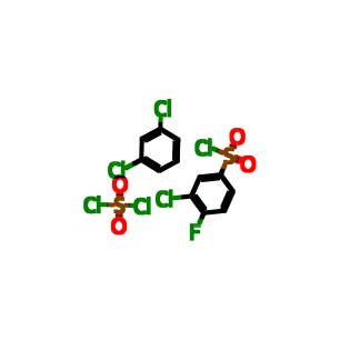 Clc1cccc(Cl)c1.O=S(=O)(Cl)Cl.O=S(=O)(Cl)c1ccc(F)c(Cl)c1